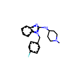 CN1CCC(Nc2nc3ccccc3n2Cc2ccc(F)cc2)CC1